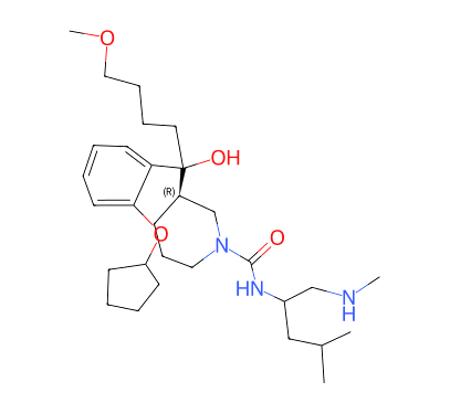 CNCC(CC(C)C)NC(=O)N1CCC[C@@H](C(O)(CCCCOC)c2ccccc2OC2CCCC2)C1